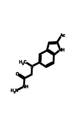 CC(=O)c1cc2cc(N(C)CC(=O)NN)ccc2[nH]1